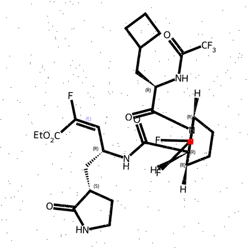 CCOC(=O)/C(F)=C\[C@@H](C[C@@H]1CCNC1=O)NC(=O)[C@H]1[C@H]2CC[C@H](CC2(F)F)N1C(=O)[C@@H](CC1CCC1)NC(=O)C(F)(F)F